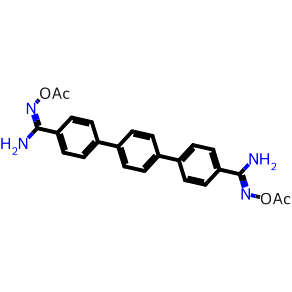 CC(=O)O/N=C(\N)c1ccc(-c2ccc(-c3ccc(/C(N)=N\OC(C)=O)cc3)cc2)cc1